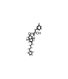 Cc1cccc(C[C@H](O)/C=C/[C@@H]2[C@H]3CC(CCCCN4CCCC4)=C[C@H]3C[C@H]2O)c1